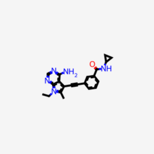 CCn1c(C)c(C#Cc2cccc(C(=O)NC3CC3)c2)c2c(N)ncnc21